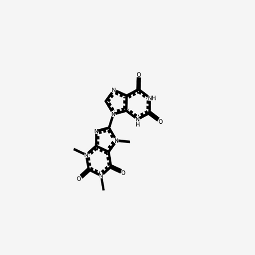 Cn1c(=O)c2c(nc(-n3cnc4c(=O)[nH]c(=O)[nH]c43)n2C)n(C)c1=O